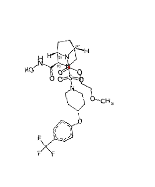 COCCOC(=O)N1[C@@H]2CC[C@H]1[C@H](C(=O)NO)N(S(=O)(=O)N1CCC(Oc3ccc(C(F)(F)F)cc3)CC1)C2